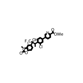 COC(=O)c1ccc(-c2ccc(C(C)C(O)(c3ccc4oc(=O)n(C)c4c3)C(F)(F)F)c(Cl)c2)cn1